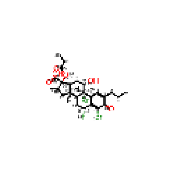 CCCC1=C[C@@]2(C)C(=C(Br)C1=O)[C@@H](F)C[C@H]1[C@@H]3C[C@@H](C)[C@](OC(=O)CC)(C(=O)O)[C@@]3(C)C[C@H](O)[C@@]12Br